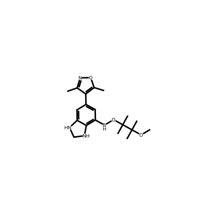 COC(C)(C)C(C)(C)OBc1cc(-c2c(C)noc2C)cc2c1NCN2